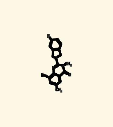 Cc1cc(Br)c2nc(N3Cc4ccc(F)cc4C3)n(C)c(=O)c2c1